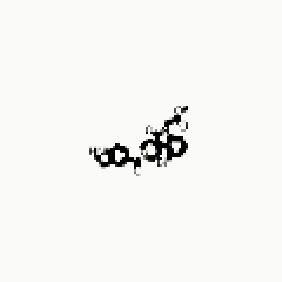 COC(=O)CN1C(=O)C2(CCN(C(=O)c3ccc4[nH]ncc4c3)CC2)c2c(Br)cccc21